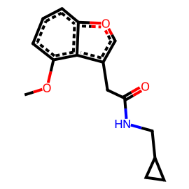 COc1cccc2occ(CC(=O)NCC3CC3)c12